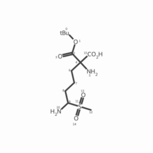 CC(C)(C)OC(=O)C(N)(CCCC(N)S(C)(=O)=O)C(=O)O